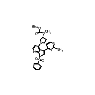 CN(C(=O)OC(C)(C)C)[C@H]1CCN(c2ccnc3c2c(-c2ccnc(N)n2)cn3S(=O)(=O)c2ccccc2)C1